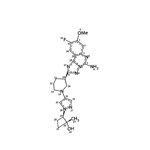 COc1cc2nc(N)n3nc([C@@H]4CCCN(c5cnn([C@@H]6CC[C@@]6(C)O)c5)C4)nc3c2cc1F